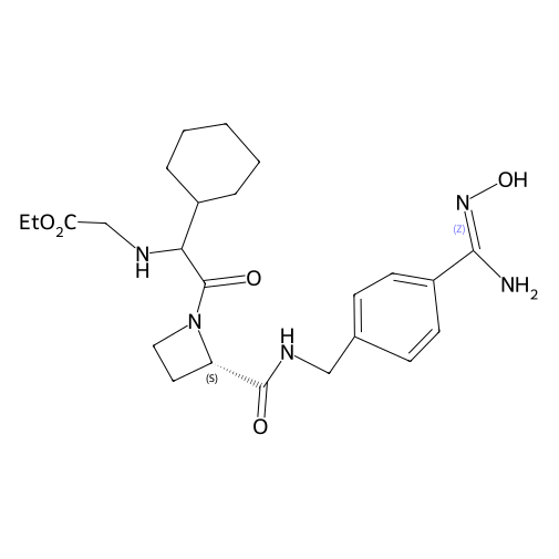 CCOC(=O)CNC(C(=O)N1CC[C@H]1C(=O)NCc1ccc(/C(N)=N/O)cc1)C1CCCCC1